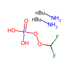 CCCCN.CCCCN.O=P(O)(O)OOC(F)F